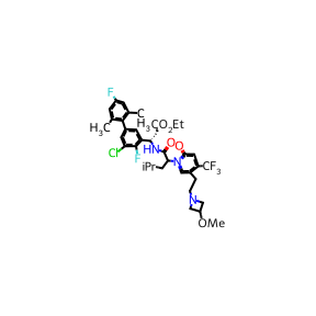 CCOC(=O)C[C@H](NC(=O)C(CC(C)C)n1cc(CCN2CC(OC)C2)c(C(F)(F)F)cc1=O)c1cc(-c2c(C)cc(F)cc2C)cc(Cl)c1F